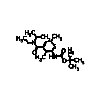 CCN(C(=O)C1=CC(C)SC(NC(=O)OC(C)(C)C)=C1C)C(C)C